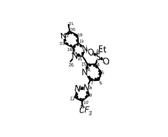 CCS(=O)(=O)c1ccc(-n2cc(C(F)(F)F)cn2)nc1-c1nc2cc(C)ncc2n1C